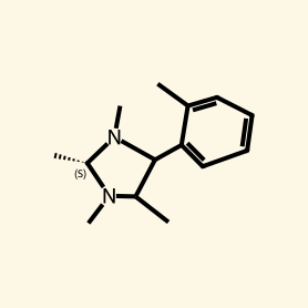 Cc1ccccc1C1C(C)N(C)[C@H](C)N1C